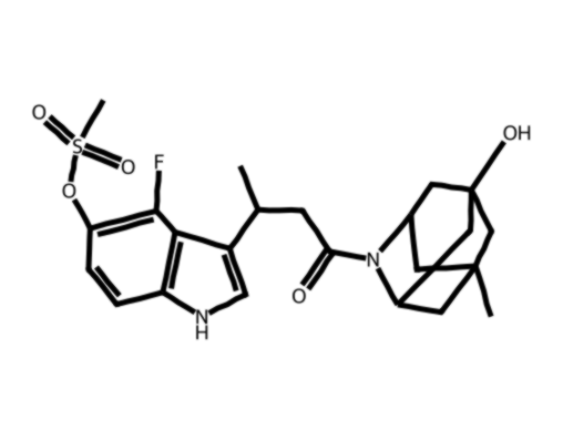 CC(CC(=O)N1C2CC3(C)CC1CC(O)(C2)C3)c1c[nH]c2ccc(OS(C)(=O)=O)c(F)c12